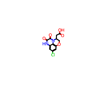 O=C(O)CC1COc2cc(Cl)cc3[nH]c(=O)c(=O)n1c23